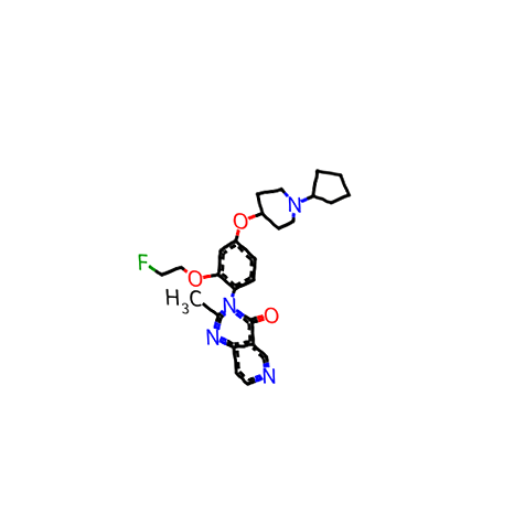 Cc1nc2ccncc2c(=O)n1-c1ccc(OC2CCN(C3CCCC3)CC2)cc1OCCF